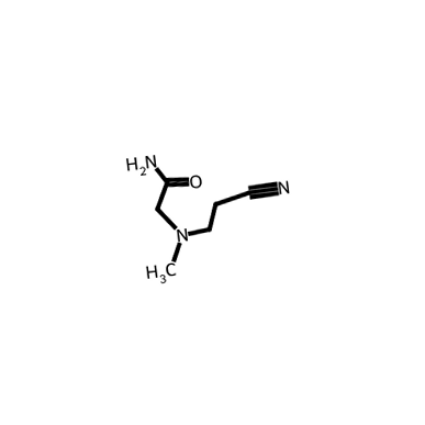 CN(CCC#N)CC(N)=O